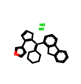 C1=CC(c2ccoc2)=[C]([Zr](=[C]2CCCCC2)[c]2cccc3c2Cc2ccccc2-3)C1.Cl.Cl